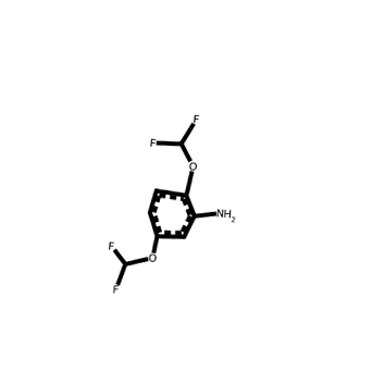 Nc1cc(OC(F)F)ccc1OC(F)F